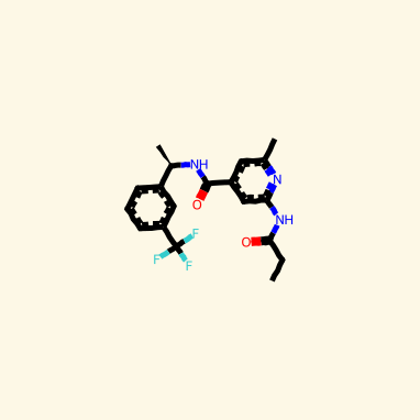 CCC(=O)Nc1cc(C(=O)N[C@H](C)c2cccc(C(F)(F)F)c2)cc(C)n1